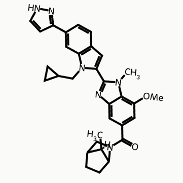 COc1cc(C(=O)N2CC3CCC2[C@@H]3C)cc2nc(-c3cc4ccc(-c5cc[nH]n5)cc4n3CC3CC3)n(C)c12